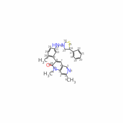 Cc1cc2c(cn1)cc(-c1cc(NN3CSC(c4ccccc4)C3)ccc1C)c(=O)n2C